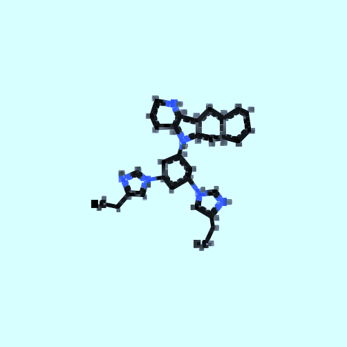 CCc1cn(-c2cc(-n3cnc(CC)c3)cc(-n3c4cc5ccccc5cc4c4ncccc43)c2)cn1